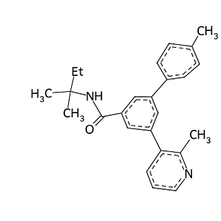 CCC(C)(C)NC(=O)c1cc(-c2ccc(C)cc2)cc(-c2cccnc2C)c1